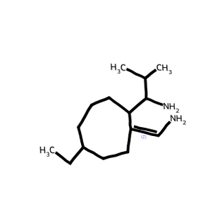 CCC1CCCC(C(N)C(C)C)/C(=C\N)CC1